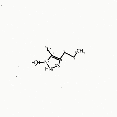 CCCC1=C(I)N(N)NS1